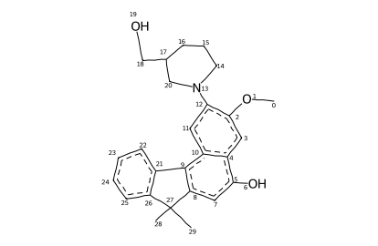 COc1cc2c(O)cc3c(c2cc1N1CCCC(CO)C1)-c1ccccc1C3(C)C